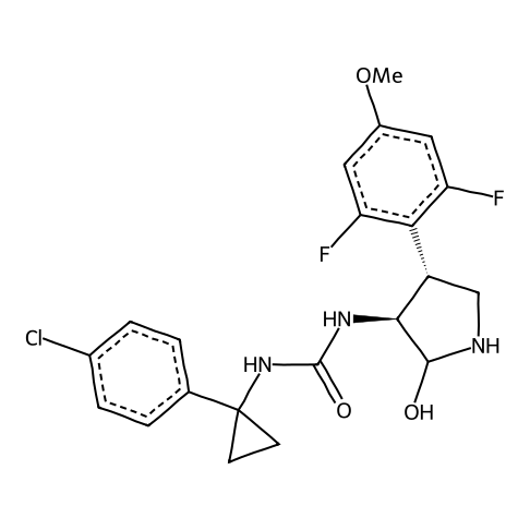 COc1cc(F)c([C@@H]2CNC(O)[C@H]2NC(=O)NC2(c3ccc(Cl)cc3)CC2)c(F)c1